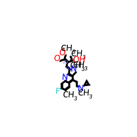 CC[C@](C)(O)C(/C=C1/c2nc3cc(F)c(C)cc3c(CCN(C)C3CC3)c2CN1C)=C(/C=O)COC